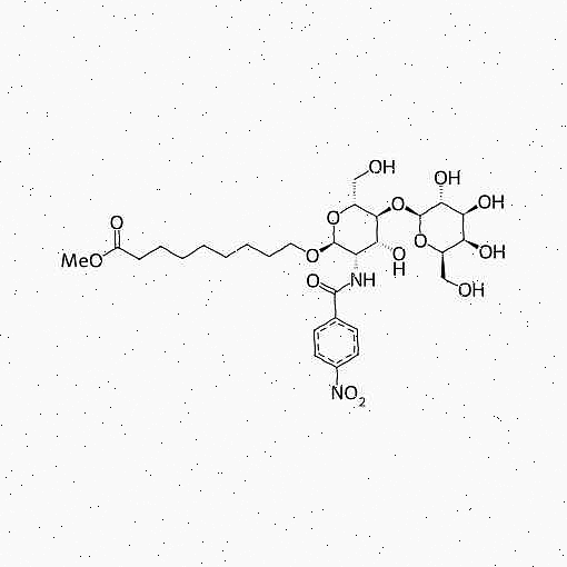 COC(=O)CCCCCCCCO[C@H]1O[C@H](CO)[C@@H](O[C@@H]2O[C@H](CO)[C@H](O)[C@H](O)[C@H]2O)[C@H](O)[C@@H]1NC(=O)c1ccc([N+](=O)[O-])cc1